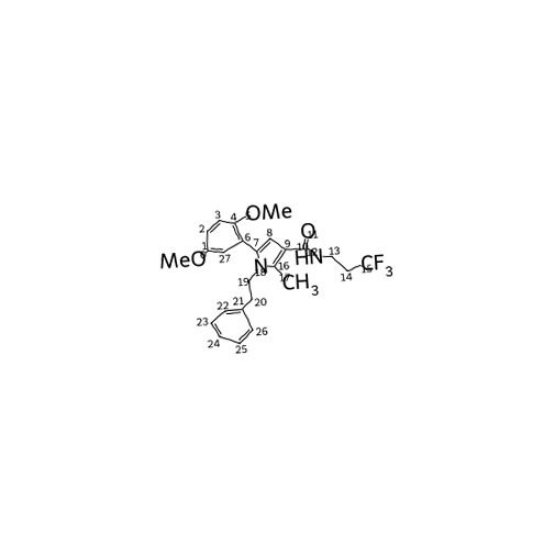 COc1ccc(OC)c(-c2cc(C(=O)NCCC(F)(F)F)c(C)n2CCc2ccccc2)c1